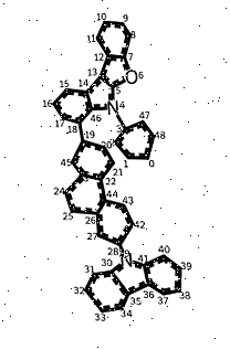 c1ccc(-n2c3oc4ccccc4c3c3cccc(-c4ccc5c(ccc6cc(-n7c8ccccc8c8ccccc87)ccc65)c4)c32)cc1